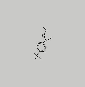 CCOC(C)c1ccc(C(C)(C)C)cc1